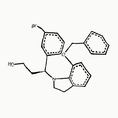 OCC[C@@H](c1cccc(Br)c1)N1CCc2cccc(OCc3ccccc3)c21